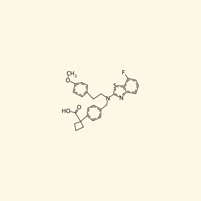 COc1ccc(CCN(Cc2ccc(C3(C(=O)O)CCC3)cc2)c2nc3cccc(F)c3s2)cc1